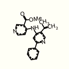 C=C(C)c1cnc(-c2ccccc2)cc1Nc1ccncc1C(=O)OC